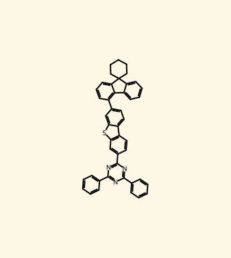 c1ccc(-c2nc(-c3ccccc3)nc(-c3ccc4c(c3)sc3cc(-c5cccc6c5-c5ccccc5C65CCCCC5)ccc34)n2)cc1